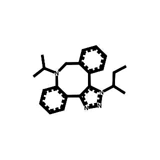 CCC(C)n1nnc2c1-c1ccccc1CN(C(C)C)c1ccccc1-2